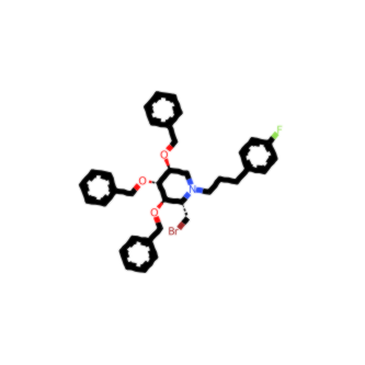 Fc1ccc(CCCN2C[C@H](OCc3ccccc3)[C@@H](OCc3ccccc3)[C@H](OCc3ccccc3)[C@H]2CBr)cc1